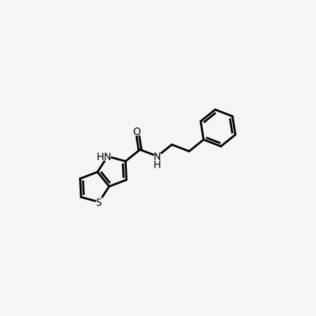 O=C(NCCc1ccccc1)c1cc2sccc2[nH]1